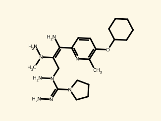 Cc1nc(/C(N)=C(\CN(N)/C(=N\N)N2CCCC2)N(C)N)ccc1OC1CCCCC1